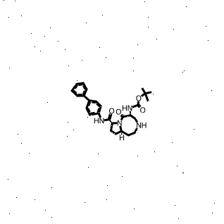 CC(C)(C)OC(=O)N[C@H]1CNCC[C@H]2CC[C@@H](C(=O)Nc3ccc(-c4ccccc4)cc3)N2C1=O